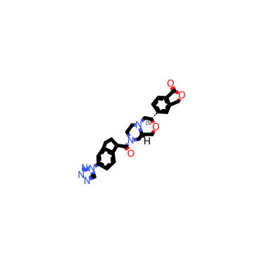 O=C1OCc2cc([C@H]3CN4CCN(C(=O)C5CCc6cc(-n7cnnn7)ccc65)C[C@H]4CO3)ccc21